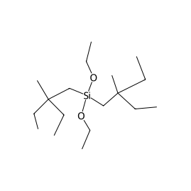 CCO[Si](CC(C)(CC)CC)(CC(C)(CC)CC)OCC